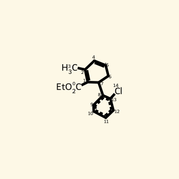 CCOC(=O)C1=C(C)C=[C]CC1c1ccccc1Cl